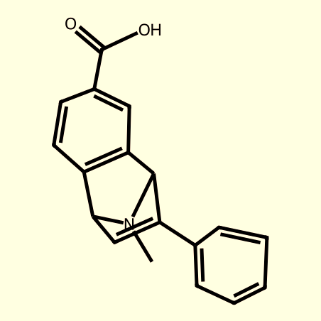 CN1C2C=C(c3ccccc3)C1c1cc(C(=O)O)ccc12